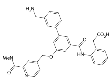 CNC(=O)c1cc(COc2cc(C(=O)Nc3ccccc3CC(=O)O)cc(-c3cccc(CN)c3)c2)ccn1